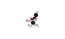 COC(=O)/C(=C/C(=O)c1ccc(Br)cc1)Nc1ccc(C)c(C)c1